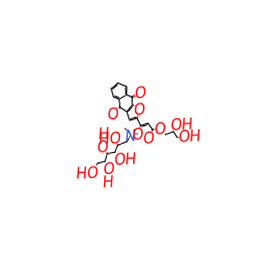 CN(C[C@H](O)[C@@H](O)[C@H](O)[C@H](O)CO)O/C(=C\C(=O)OCC(O)CO)c1cc2c(o1)C(=O)c1ccccc1C2=O